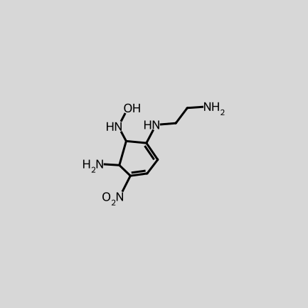 NCCNC1=CC=C([N+](=O)[O-])C(N)C1NO